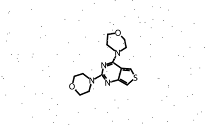 c1scc2c(N3CCOCC3)nc(N3CCOCC3)nc12